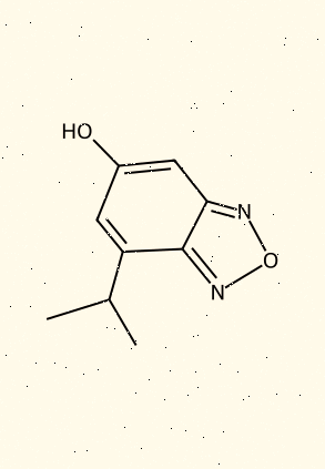 CC(C)c1cc(O)cc2nonc12